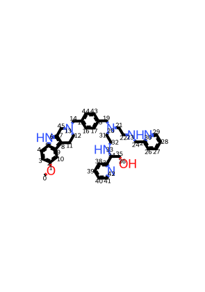 COc1ccc2[nH]c3c(c2c1)CCN(Cc1ccc(CN(CCNCc2ccccn2)CCNC(CO)c2ccccn2)cc1)C3